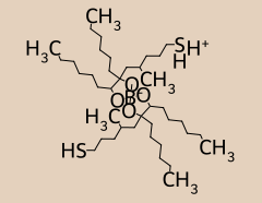 CCCCCCC1O[B-]2(OC(CCCCCC)C(CCCCCC)(CC(C)CCCS)O2)OC1(CCCCCC)CC(C)CCCS.[H+]